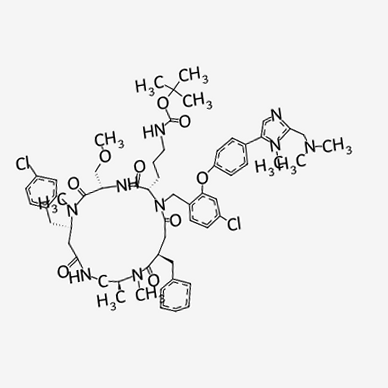 COC[C@@H]1NC(=O)[C@H](CCCNC(=O)OC(C)(C)C)N(Cc2ccc(Cl)cc2Oc2ccc(-c3cnc(CN(C)C)n3C)cc2)C(=O)C[C@@H](Cc2ccccc2)C(=O)N(C)[C@@H](C)CNC(=O)C[C@H](Cc2ccc(Cl)cc2)N(C)C1=O